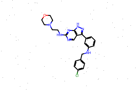 Clc1ccc(CNc2cccc(-c3n[nH]c4nc(NCCN5CCOCC5)ncc34)c2)cc1